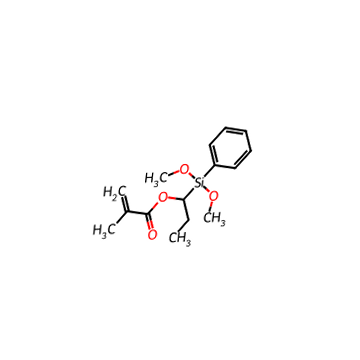 C=C(C)C(=O)OC(CC)[Si](OC)(OC)c1ccccc1